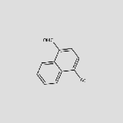 CC(=O)c1ccc(C=O)c2ccccc12